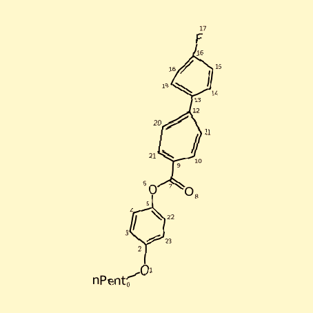 CCCCCOc1ccc(OC(=O)c2ccc(-c3ccc(F)cc3)cc2)cc1